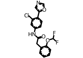 O=C(Cc1ccccc1OC(F)F)Nc1ccc(-c2cnco2)c(Cl)c1